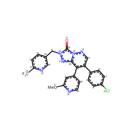 COc1cc(-c2c(-c3ccc(Cl)cc3)cnn3c(=O)n(Cc4ccc(C(F)(F)F)nc4)nc23)ccn1